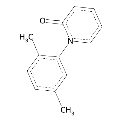 Cc1ccc(C)c(-n2ccccc2=O)c1